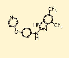 FC(F)(F)c1cc(C(F)(F)F)c2nc(Nc3ccc(Oc4ccncc4)cc3)[nH]c2c1